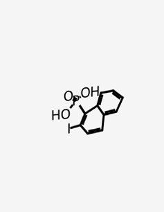 O=P(O)(O)c1c(I)ccc2ccccc12